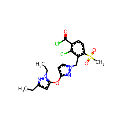 CCc1cc(Oc2ccn(Cc3c(S(C)(=O)=O)ccc(C(=O)Cl)c3Cl)n2)n(CC)n1